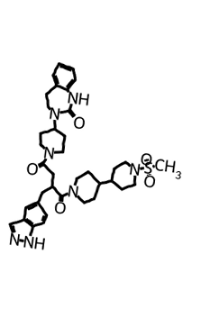 CS(=O)(=O)N1CCC(C2CCN(C(=O)C(CC(=O)N3CCC(N4CCc5ccccc5NC4=O)CC3)Cc3ccc4[nH]ncc4c3)CC2)CC1